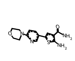 NC(=O)c1cc(-c2ccc(N3CCOCC3)nc2)sc1N